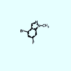 Cn1ncc2c(Br)cc(F)cc21